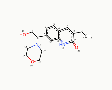 CCc1cc2ccc(C(CO)N3CCOCC3)cc2[nH]c1=O